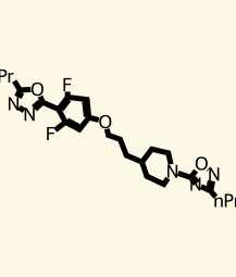 CCCc1noc(N2CCC(CCCOc3cc(F)c(-c4nnc(C(C)C)o4)c(F)c3)CC2)n1